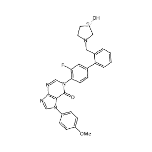 COc1ccc(-n2cnc3ncn(-c4ccc(-c5ccccc5CN5CC[C@H](O)C5)cc4F)c(=O)c32)cc1